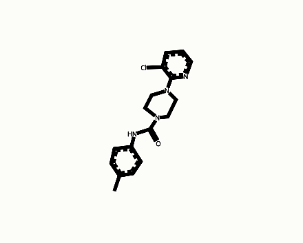 Cc1ccc(NC(=O)N2CCN(c3ncccc3Cl)CC2)cc1